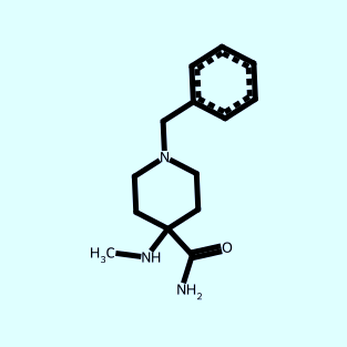 CNC1(C(N)=O)CCN(Cc2ccccc2)CC1